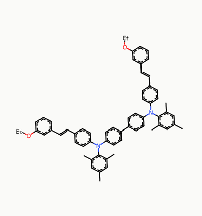 CCOc1cccc(/C=C/c2ccc(N(c3ccc(-c4ccc(N(c5ccc(/C=C/c6cccc(OCC)c6)cc5)c5c(C)cc(C)cc5C)cc4)cc3)c3c(C)cc(C)cc3C)cc2)c1